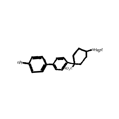 CCCCCCCC1CCC(C(=O)O)(c2ccc(-c3ccc(CCC)cc3)cc2)CC1